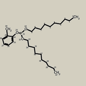 CCCCCCCCCCOP(OCCCCCCCCCC)Oc1ccccc1C